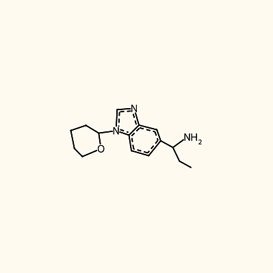 CCC(N)c1ccc2c(c1)ncn2C1CCCCO1